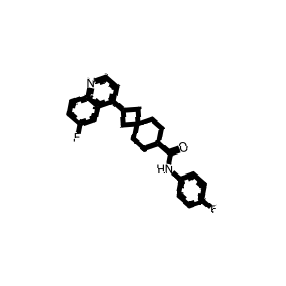 O=C(Nc1ccc(F)cc1)C1CCC2(CC1)CC(c1ccnc3ccc(F)cc13)C2